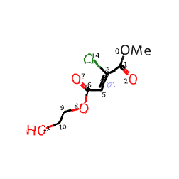 COC(=O)/C(Cl)=C/C(=O)OCCO